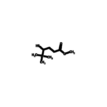 COC(=O)CC[CH](S)[Sn]([CH3])([CH3])[CH3]